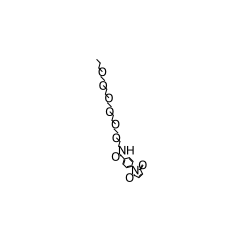 CCCOCCOCCOCCOCCOCCOCCNC(=O)c1ccc(N2C(=O)C=CC2=O)cc1